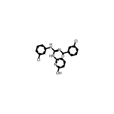 O=C(/N=C(/Nc1cccc(Cl)c1)Nc1cccc(O)n1)c1cccc(Cl)c1